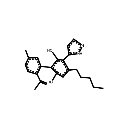 C=C(C)c1ccc(C)cc1-c1c(O)cc(CCCCC)c(-c2ccn[nH]2)c1O